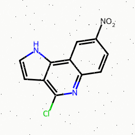 O=[N+]([O-])c1ccc2nc(Cl)c3cc[nH]c3c2c1